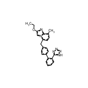 CCOc1cn2c(Cc3ccc(-c4ccccc4-c4nnn[nH]4)cc3)ccc(C)c2n1